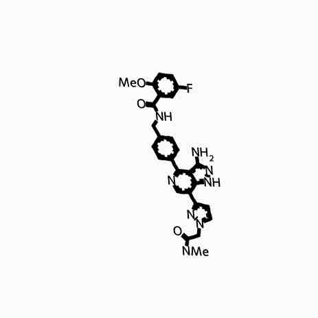 CNC(=O)Cn1ccc(-c2cnc(-c3ccc(CNC(=O)c4cc(F)ccc4OC)cc3)c3c(N)n[nH]c23)n1